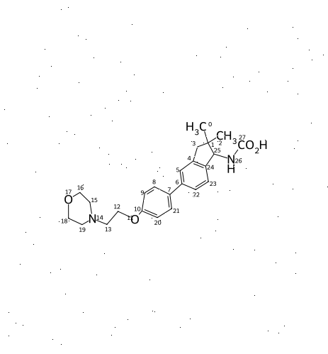 CC1(C)Cc2cc(-c3ccc(OCCN4CCOCC4)cc3)ccc2C1NC(=O)O